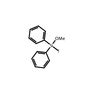 CO[Si](I)(c1ccccc1)c1ccccc1